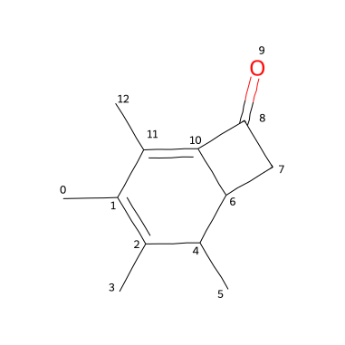 CC1=C(C)C(C)C2CC(=O)C2=C1C